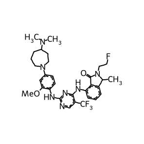 COc1cc(N2CCCC(N(C)C)CC2)ccc1Nc1ncc(C(F)(F)F)c(Nc2cccc3c2C(=O)N(CCF)C3C)n1